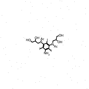 CC(=O)N(CC(O)CO)c1c(I)c(N)c(I)c(N(CC(O)CO)C(C)=O)c1I